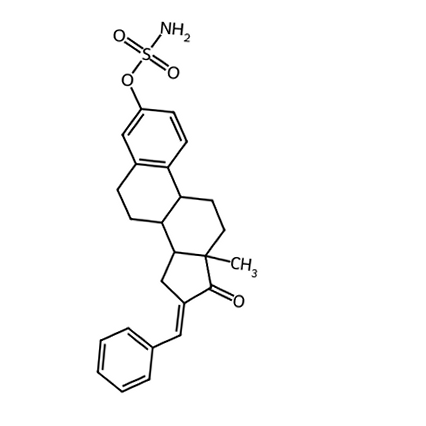 CC12CCC3c4ccc(OS(N)(=O)=O)cc4CCC3C1CC(=Cc1ccccc1)C2=O